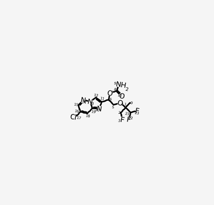 CC(CF)(OCC(OC(N)=O)c1cn2ncc(Cl)cc2n1)C(F)F